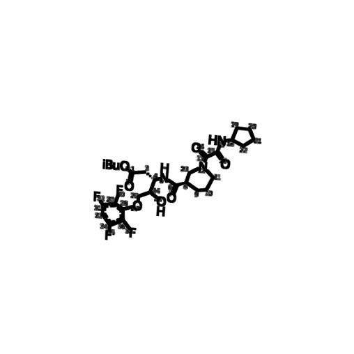 CC(C)COC(=O)C[C@H](NC(=O)[C@@H]1CCCN(C(=O)C(=O)NC2CCCC2)C1)C(O)COc1c(F)c(F)cc(F)c1F